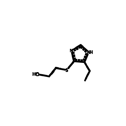 CCc1[nH]cnc1SCCO